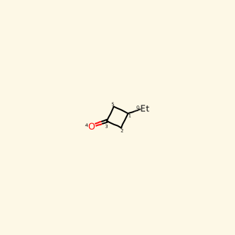 [CH2]CC1CC(=O)C1